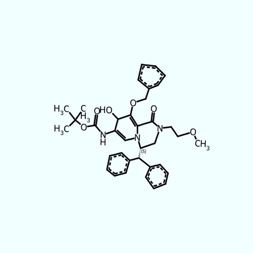 COCCN1C[C@H](C(c2ccccc2)c2ccccc2)N2C=C(NC(=O)OC(C)(C)C)C(O)C(OCc3ccccc3)=C2C1=O